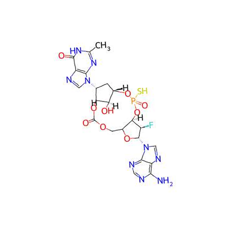 Cc1nc2c(ncn2[C@@H]2C[C@@H]3OP(=O)(S)O[C@@H]4C(COC(=O)O[C@@H]2[C@@H]3O)O[C@@H](n2cnc3c(N)ncnc32)[C@@H]4F)c(=O)[nH]1